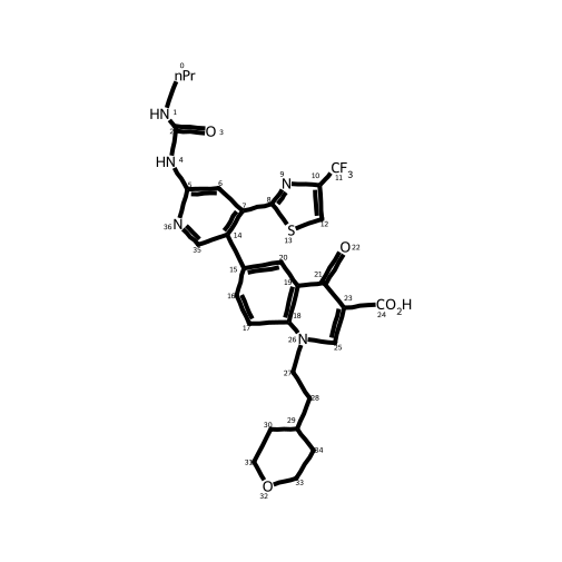 CCCNC(=O)Nc1cc(-c2nc(C(F)(F)F)cs2)c(-c2ccc3c(c2)c(=O)c(C(=O)O)cn3CCC2CCOCC2)cn1